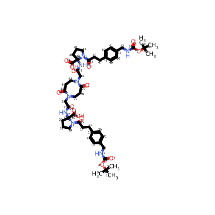 CC(C)(C)OC(=O)NCc1ccc(CCC(=O)N2CCCC2(NC(=O)CN2CCC(=O)N(CC(=O)NC3(C(=O)O)CCCN3C(=O)CCc3ccc(CNC(=O)OC(C)(C)C)cc3)CCC2=O)C(=O)O)cc1